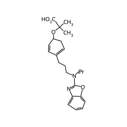 CC(C)N(CCCC1=CCC(OC(C)(C)C(=O)O)C=C1)c1nc2ccccc2o1